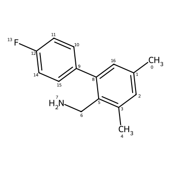 Cc1cc(C)c(CN)c(-c2ccc(F)cc2)c1